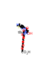 Cc1ncsc1-c1ccc(CNC(=O)[C@@H]2C[C@@H](O)CN2C(=O)[C@@H](NC(=O)CCOCCOCCOCCOCCC(=O)O)C(C)(C)C)cc1